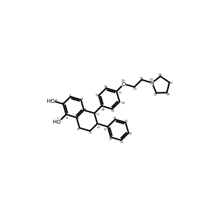 Oc1ccc2c(c1O)CCC(c1ccccc1)C2c1ccc(OCCN2CCCC2)cc1